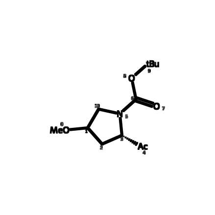 COC1C[C@@H](C(C)=O)N(C(=O)OC(C)(C)C)C1